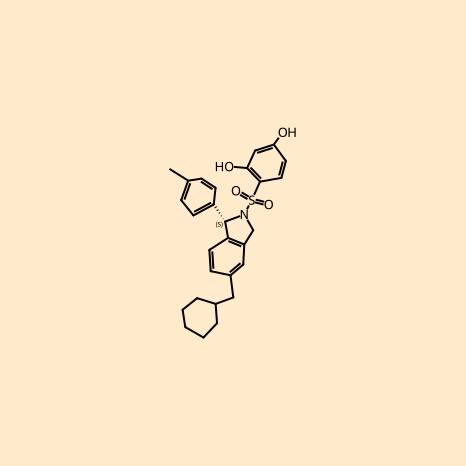 Cc1ccc([C@H]2c3ccc(CC4CCCCC4)cc3CN2S(=O)(=O)c2ccc(O)cc2O)cc1